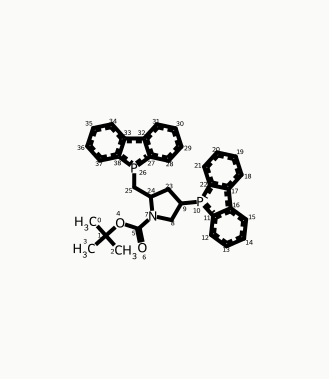 CC(C)(C)OC(=O)N1CC(p2c3ccccc3c3ccccc32)CC1Cp1c2ccccc2c2ccccc21